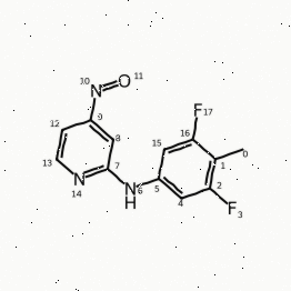 Cc1c(F)cc(Nc2cc(N=O)ccn2)cc1F